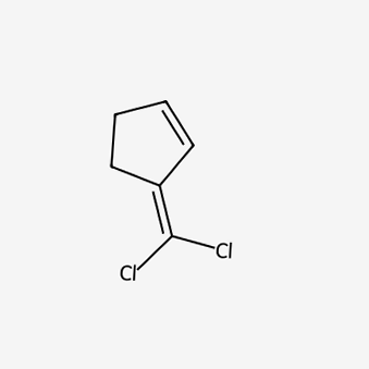 ClC(Cl)=C1C=CCC1